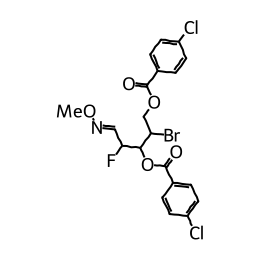 CON=CC(F)C(OC(=O)c1ccc(Cl)cc1)C(Br)COC(=O)c1ccc(Cl)cc1